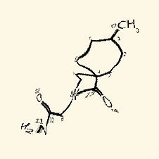 CC1CCC2(CC1)CN(CC(N)=O)C2=O